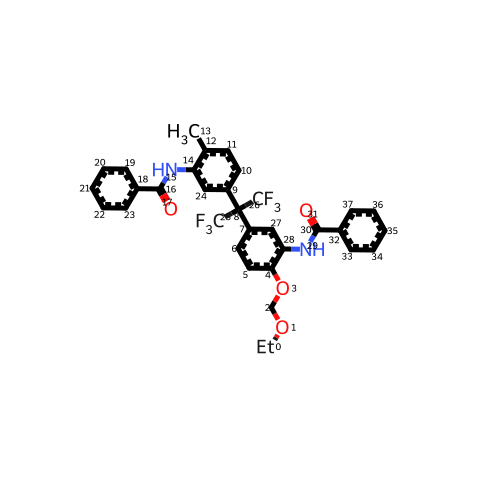 CCOCOc1ccc(C(c2ccc(C)c(NC(=O)c3ccccc3)c2)(C(F)(F)F)C(F)(F)F)cc1NC(=O)c1ccccc1